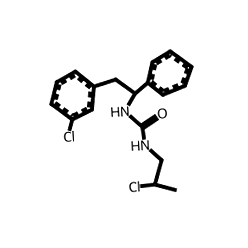 CC(Cl)CNC(=O)NC(Cc1cccc(Cl)c1)c1ccccc1